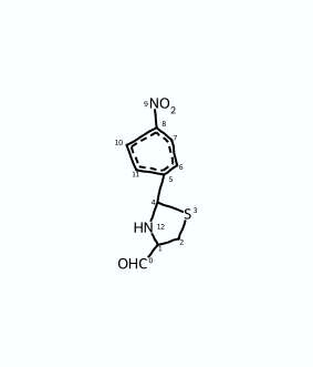 O=CC1CSC(c2ccc([N+](=O)[O-])cc2)N1